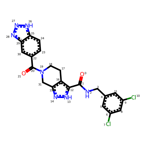 O=C(NCc1cc(Cl)cc(Cl)c1)c1[nH]nc2c1CCN(C(=O)c1ccc3[nH]nnc3c1)C2